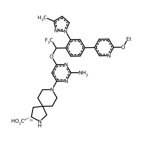 CCOc1ccc(-c2ccc(C(Oc3cc(N4CCC5(CC4)CN[C@H](C(=O)O)C5)nc(N)n3)C(F)(F)F)c(-n3ccc(C)n3)c2)cn1